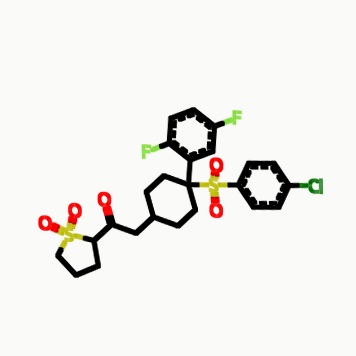 O=C(CC1CCC(c2cc(F)ccc2F)(S(=O)(=O)c2ccc(Cl)cc2)CC1)C1CCCS1(=O)=O